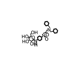 O=C1O[C@H](CN(Cc2ccccc2)Cc2ccccc2)CN1c1ccc(N[C@H]2OC(CO)[C@H](O)C(O)C2O)cc1